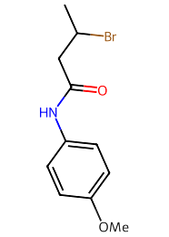 COc1ccc(NC(=O)CC(C)Br)cc1